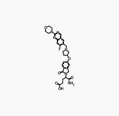 NC(=O)C(CCC(=O)O)N1Cc2cc(OC3CCN(Cc4cc5cnc(N6CCOCC6)nc5cc4F)C3)ccc2C1=O